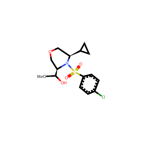 COC(O)[C@H]1COC[C@@H](C2CC2)N1S(=O)(=O)c1ccc(Cl)cc1